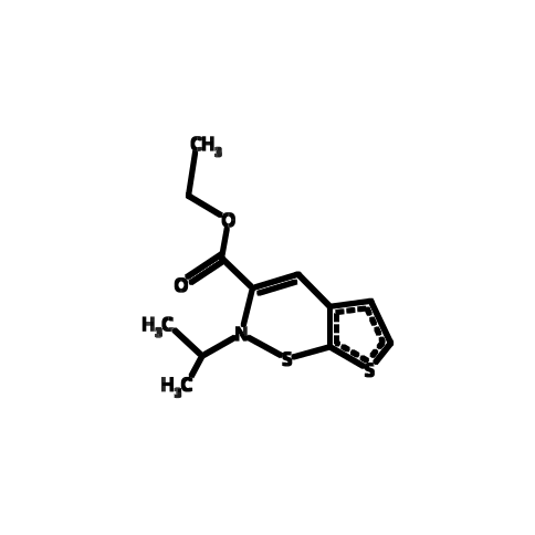 CCOC(=O)C1=Cc2ccsc2SN1C(C)C